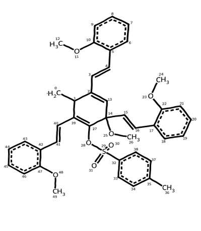 [CH2]C1C(/C=C/c2ccccc2OC)=CC(/C=C/c2ccccc2OC)(OC)C(OS(=O)(=O)c2ccc(C)cc2)=C1/C=C/c1ccccc1OC